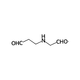 O=[C]CNCCC=O